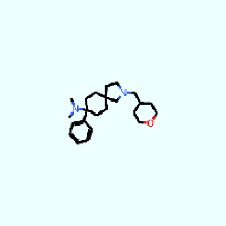 CN(C)C1(c2ccccc2)CCC2(CCN(CC3CCOCC3)C2)CC1